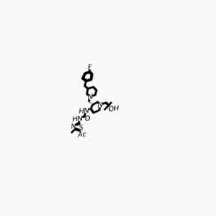 CC(=O)c1sc(NC(=O)N[C@@H]2CCN(CC(C)(C)O)C[C@H]2CN2CCCC(Cc3ccc(F)cc3)C2)nc1C